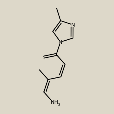 C=C(/C=C\C(C)=C/N)n1cnc(C)c1